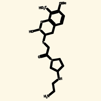 COc1ccc2c(c1C(=O)O)OB(O)C(SCC(=O)N1CCC(NCCN)C1)C2